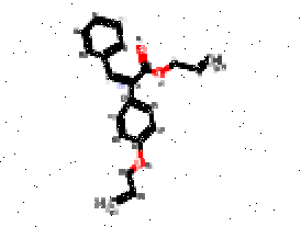 C=CCOC(=O)/C(=C\c1ccccc1)c1ccc(OCC=C)cc1